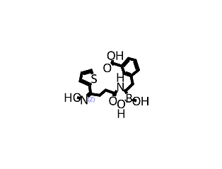 O=C(CC/C(=N/O)c1cccs1)NC(Cc1cccc(C(=O)O)c1)B(O)O